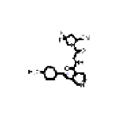 CC1CCC(/C=C/c2cnccc2C(=O)NCC(=O)N2CC(F)(F)CC2C#N)CC1